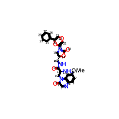 COc1ccc2ncc(=O)n(C[C@@H](N)C(=O)NC[C@@H]3CN(C4=COC=C(C5=CC=CCC5)O4)C(=O)O3)c2c1